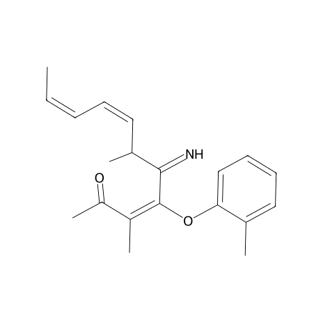 C/C=C\C=C/C(C)C(=N)/C(Oc1ccccc1C)=C(/C)C(C)=O